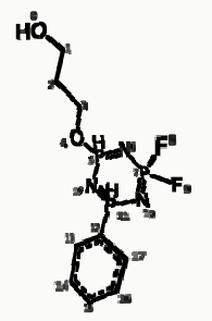 OCCCO[PH]1=NP(F)(F)=N[PH](c2ccccc2)=N1